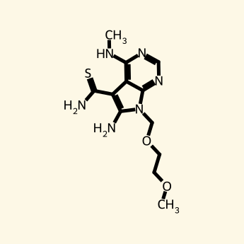 CNc1ncnc2c1c(C(N)=S)c(N)n2COCCOC